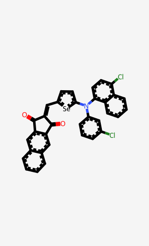 O=C1C(=Cc2ccc(N(c3cccc(Cl)c3)c3ccc(Cl)c4ccccc34)[se]2)C(=O)c2cc3ccccc3cc21